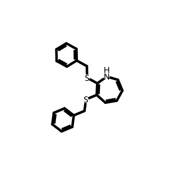 C1=CNC(SCc2ccccc2)=C(SCc2ccccc2)C=C1